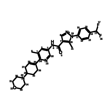 Cc1cc(NC(=O)c2cnn(-c3ccc(C(F)F)cc3)c2C)cnc1C1=CCC(N2CCOCC2)CC1